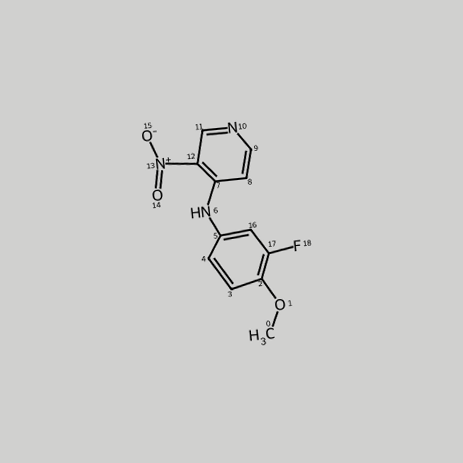 COc1ccc(Nc2ccncc2[N+](=O)[O-])cc1F